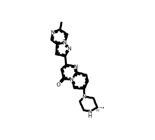 Cc1cn2nc(-c3cc(=O)n4cc(N5CCN[C@@H](C)C5)ccc4n3)cc2cn1